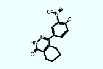 O=c1[nH]nc(-c2ccc(Cl)c([N+](=O)[O-])c2)c2c1CCCC2